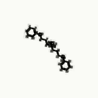 Cl.c1ccc(OCCCNCCCOc2ccccc2)cc1